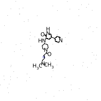 CN(C)C/C=C/C(=O)N1CCC(Nc2cc(-c3ccncc3)c[nH]c2=O)CC1